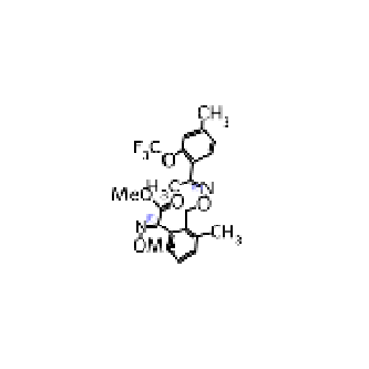 CO/N=C(/C(=O)OC)c1cccc(C)c1CO/N=C(\C)c1ccc(C)cc1OC(F)(F)F